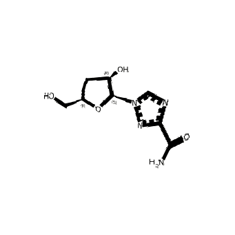 NC(=O)c1ncn([C@H]2O[C@@H](CO)C[C@H]2O)n1